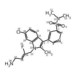 Cc1c(-c2cncc(S(=O)(=O)N(C)C)c2)c2ccc(Cl)cc2n1C/C(F)=C/CN